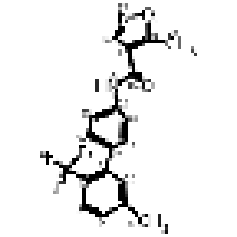 Cc1ccc(C(F)(F)F)c(-c2ccc(NC(=O)c3cnoc3C)cc2)c1